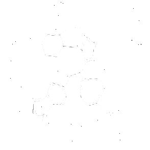 CCOC(=O)C1CCCCC1n1nnnc1C(Nc1ccc2[nH]cnc2c1)c1ccc(OC)cc1